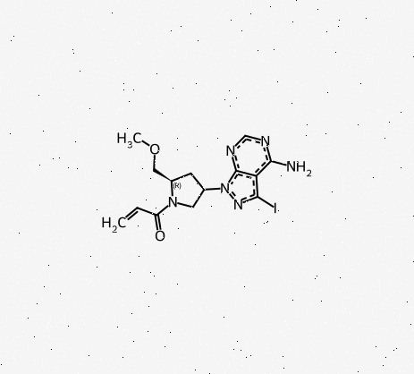 C=CC(=O)N1CC(n2nc(I)c3c(N)ncnc32)C[C@@H]1COC